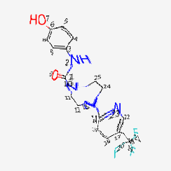 O=C(Nc1ccc(O)cc1)N1CCN(c2ccc(C(F)(F)F)cn2)CC1